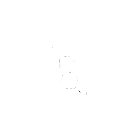 B[C@H]1CCc2cc(OC)ccc2C1